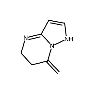 C=C1CCN=C2C=CNN12